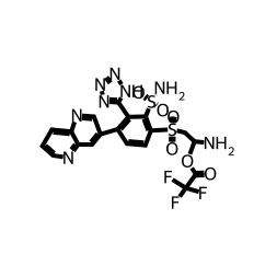 NC(CS(=O)(=O)c1ccc(-c2cnc3cccnc3c2)c(-c2nnn[nH]2)c1S(N)(=O)=O)OC(=O)C(F)(F)F